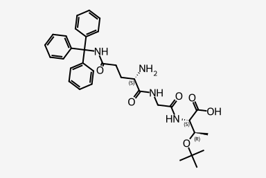 C[C@@H](OC(C)(C)C)[C@H](NC(=O)CNC(=O)[C@@H](N)CCC(=O)NC(c1ccccc1)(c1ccccc1)c1ccccc1)C(=O)O